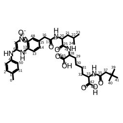 Cc1ccc(N/C(=C/[N+](=O)[O-])Nc2ccc(CC(=O)NC(CC(C)C)C(=O)NC(CCCCC(NC(=O)CC(C)(C)C)C(=O)O)C(=O)O)cc2)cc1